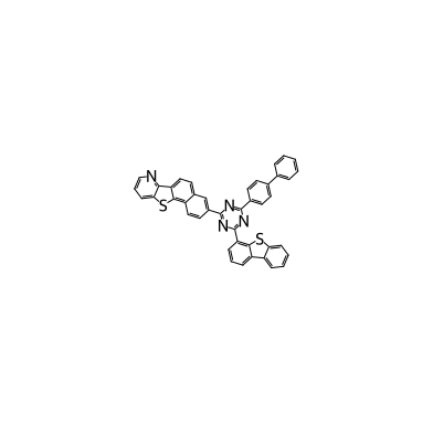 c1ccc(-c2ccc(-c3nc(-c4ccc5c(ccc6c7ncccc7sc56)c4)nc(-c4cccc5c4sc4ccccc45)n3)cc2)cc1